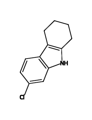 Clc1ccc2c3c([nH]c2c1)CCCC3